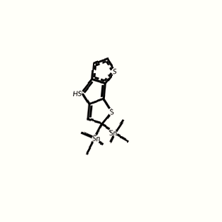 [CH3][Sn]([CH3])([CH3])[C]1([Sn]([CH3])([CH3])[CH3])C=C2[SiH]=c3ccsc3=C2S1